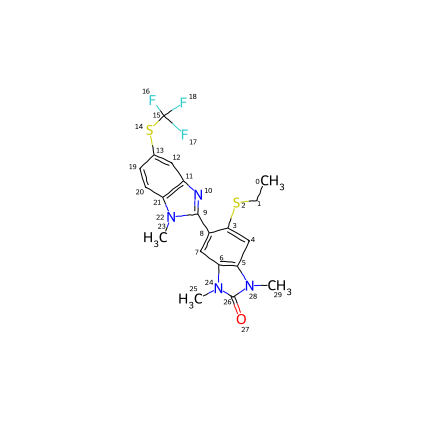 CCSc1cc2c(cc1-c1nc3cc(SC(F)(F)F)ccc3n1C)n(C)c(=O)n2C